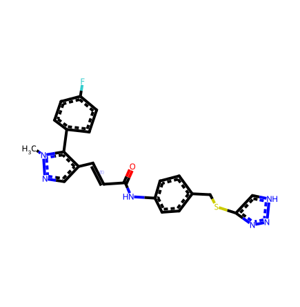 Cn1ncc(/C=C/C(=O)Nc2ccc(CSc3c[nH]nn3)cc2)c1-c1ccc(F)cc1